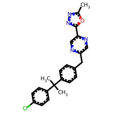 Cc1nnc(-c2cnc(Cc3ccc(C(C)(C)c4ccc(Cl)cc4)cc3)cn2)o1